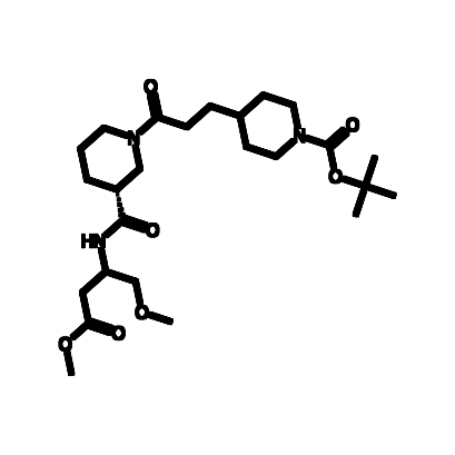 COCC(CC(=O)OC)NC(=O)[C@@H]1CCCN(C(=O)CCC2CCN(C(=O)OC(C)(C)C)CC2)C1